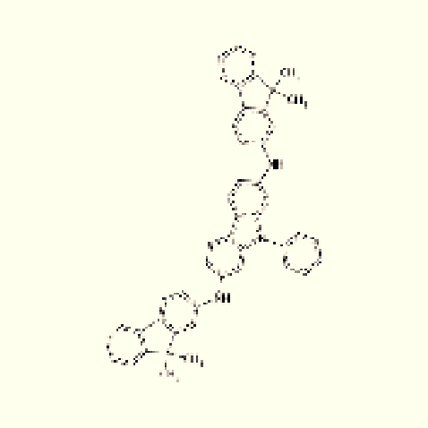 CC1(C)c2ccccc2-c2ccc(Nc3ccc4c5ccc(Nc6ccc7c(c6)C(C)(C)c6ccccc6-7)cc5n(-c5ccccc5)c4c3)cc21